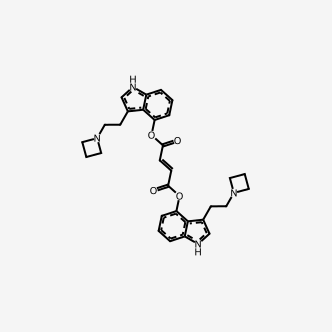 O=C(/C=C/C(=O)Oc1cccc2[nH]cc(CCN3CCC3)c12)Oc1cccc2[nH]cc(CCN3CCC3)c12